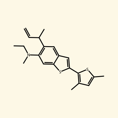 C=CC(C)c1cc2cc(-c3sc(C)cc3C)sc2cc1N(C)CC